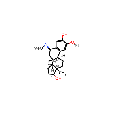 CCOc1cc2c(cc1O)C(=NOC)C[C@@H]1[C@@H]2CC[C@]2(C)[C@@H](O)CC[C@@H]12